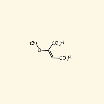 CC(C)(C)O/C(=C/C(=O)O)C(=O)O